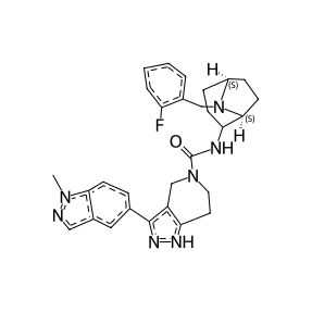 Cn1ncc2cc(-c3n[nH]c4c3CN(C(=O)NC3CC[C@H]5CC[C@@H]3N5Cc3ccccc3F)CC4)ccc21